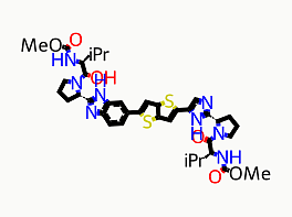 COC(=O)N[C@@H](C(C)C)C(O)N1CCC[C@H]1c1nc2ccc(C3=CC4SC(c5cnc([C@@H]6CCCN6C(=O)[C@@H](NC(=O)OC)C(C)C)[nH]5)=CC4S3)cc2[nH]1